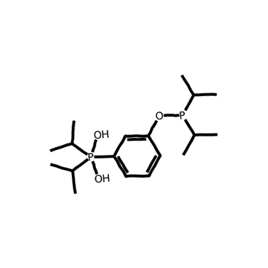 CC(C)P(Oc1cccc(P(O)(O)(C(C)C)C(C)C)c1)C(C)C